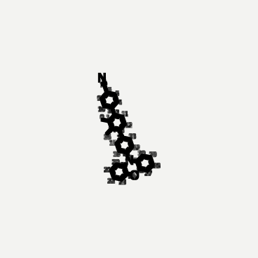 Cc1c(-c2ccc(C#N)cc2)ccc(-c2ccc(N3c4ccccc4Oc4ccccc43)cc2)c1C